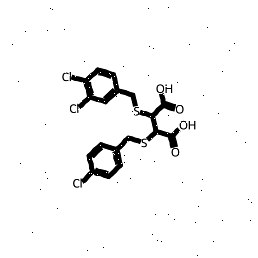 O=C(O)C(SCc1ccc(Cl)cc1)C(SCc1ccc(Cl)c(Cl)c1)C(=O)O